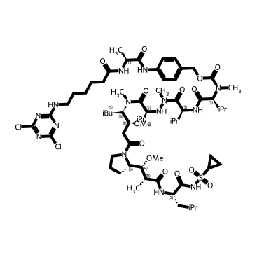 CC[C@H](C)[C@@H]([C@@H](CC(=O)N1CCC[C@H]1[C@H](OC)[C@@H](C)C(=O)N[C@@H](CC(C)C)C(=O)NS(=O)(=O)C1CC1)OC)N(C)C(=O)[C@@H](NN(C)C(=O)[C@@H](NC(=O)[C@H](C(C)C)N(C)C(=O)OCc1ccc(NC(=O)[C@H](C)NC(=O)CCCCCNc2nc(Cl)nc(Cl)n2)cc1)C(C)C)C(C)C